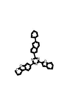 c1ccc(-c2ccc3cc(-c4nc(-c5ccc6c(c5)oc5ccccc56)nc(-c5cc6ccccc6o5)n4)ccc3c2)cc1